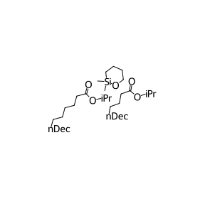 CCCCCCCCCCCCCC(=O)OC(C)C.CCCCCCCCCCCCCCCC(=O)OC(C)C.C[Si]1(C)CCCCO1